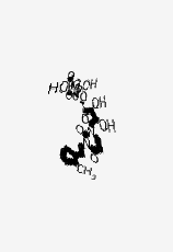 Cc1ccccc1CCn1c(=O)ccn([C@@H]2O[C@H](COP(=O)(O)OP(=O)(O)O)[C@H](O)C2O)c1=O